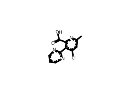 Cc1cc(Cl)c(-c2ncccn2)c(C(=O)O)n1